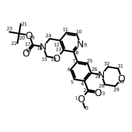 COC(=O)c1ccc(-c2nccc3c2OCN(C(=O)OC(C)(C)C)C3)cc1N1CCOCC1